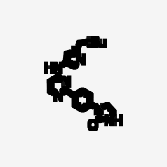 CC(C)(C)Cn1cc(Nc2ccnc(-c3ccc(N4CCNC4=O)cc3)n2)cn1